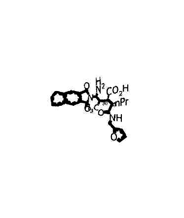 CCC[C@H](C(=O)NCc1ccco1)[C@H](C(=O)O)C(C)C(N)N1C(=O)c2cc3ccccc3cc2C1=O